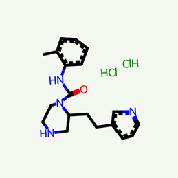 Cc1ccccc1NC(=O)N1CCNCC1CCc1cccnc1.Cl.Cl